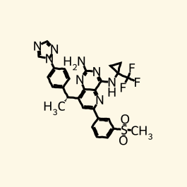 C[C@H](c1ccc(-n2cncn2)cc1)c1cc(-c2cccc(S(C)(=O)=O)c2)nc2c(NC3(C(F)(F)F)CC3)nc(N)nc12